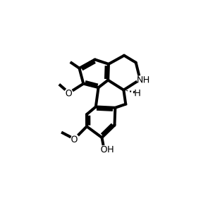 COc1cc2c(cc1O)C[C@@H]1NCCc3cc(C)c(OC)c-2c31